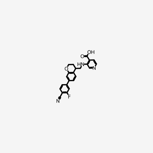 N#Cc1ccc(-c2ccc3c(c2)OCCC3CNc2cnccc2C(=O)O)cc1F